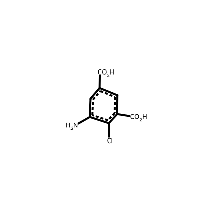 Nc1cc(C(=O)O)cc(C(=O)O)c1Cl